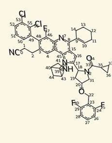 N#CCCc1cc2c(nc(C3=CCCCC3)c3cc(C4CC(OCc5c(F)cccc5F)CN4C(=O)C4CC4)n(C4C5CNC4C5)c32)c(F)c1-c1cccc(Cl)c1Cl